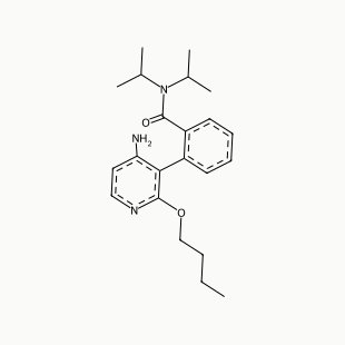 CCCCOc1nccc(N)c1-c1ccccc1C(=O)N(C(C)C)C(C)C